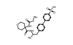 CCCS(=O)(=O)c1ccc(-c2ccc(C[C@@H](C#N)NC(=O)C3(NC(=O)OC(C)(C)C)CCOCC3)cc2)cc1